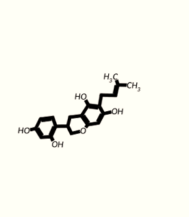 CC(C)=CCc1c(O)cc2c(c1O)CC(c1ccc(O)cc1O)CO2